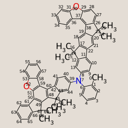 Cc1ccccc1N(c1ccc2c(c1)C(C)(C)c1cc3c(cc1-2)C(C)(C)c1ccc2oc4ccccc4c2c1-3)c1ccc2c(c1)C(C)(C)c1c3c(c4oc5ccccc5c4c1-2)-c1ccccc1C3(C)C